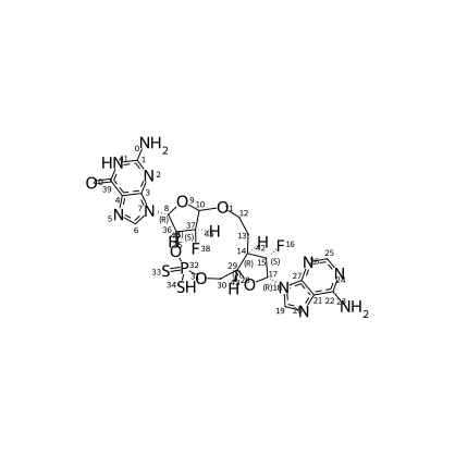 Nc1nc2c(ncn2[C@@H]2OC3OCC[C@H]4[C@H](F)[C@H](n5cnc6c(N)ncnc65)O[C@@H]4COP(=S)(S)O[C@@H]2[C@@H]3F)c(=O)[nH]1